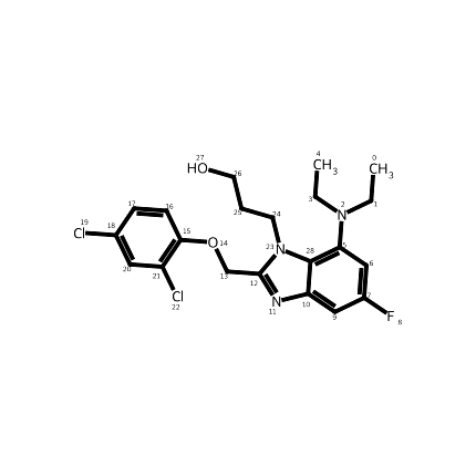 CCN(CC)c1cc(F)cc2nc(COc3ccc(Cl)cc3Cl)n(CCCO)c12